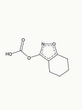 O=C(O)Oc1noc2c1CCCC2